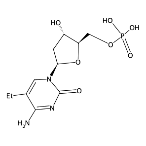 CCc1cn([C@H]2C[C@H](O)[C@@H](COP(=O)(O)O)O2)c(=O)nc1N